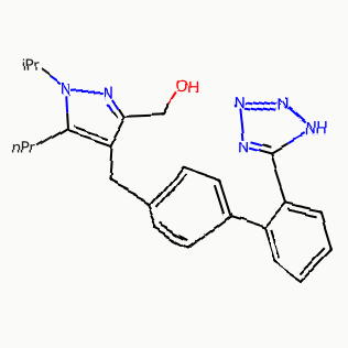 CCCc1c(Cc2ccc(-c3ccccc3-c3nnn[nH]3)cc2)c(CO)nn1C(C)C